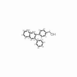 OCc1ccc(-c2nc3ncccc3cc2-c2ccccc2)cc1